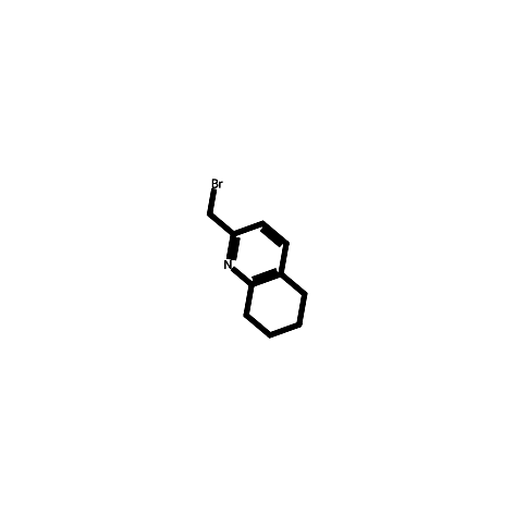 BrCc1ccc2c(n1)CCCC2